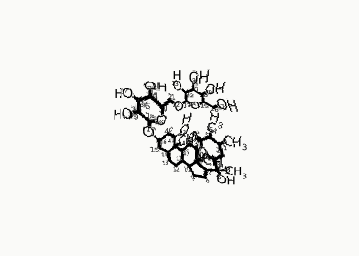 CC1CC([C@](C)(O)C2CCC3C4CC=C5C[C@@H](OC6OC(COC7OC(CO)C(O)C(O)C7O)C(O)C(O)C6O)C[C@H](O)C5(C)C4CCC32C)OC(=O)C1C